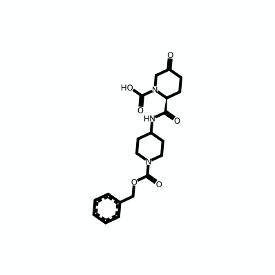 O=C1CC[C@@H](C(=O)NC2CCN(C(=O)OCc3ccccc3)CC2)N(C(=O)O)C1